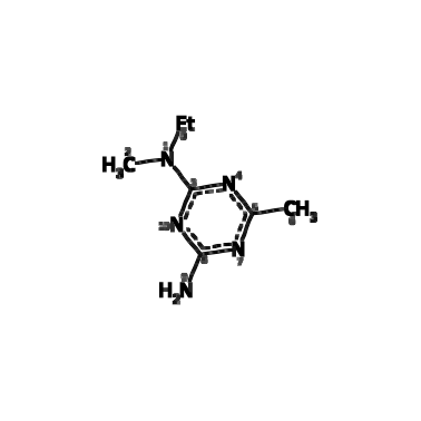 CCN(C)c1nc(C)nc(N)n1